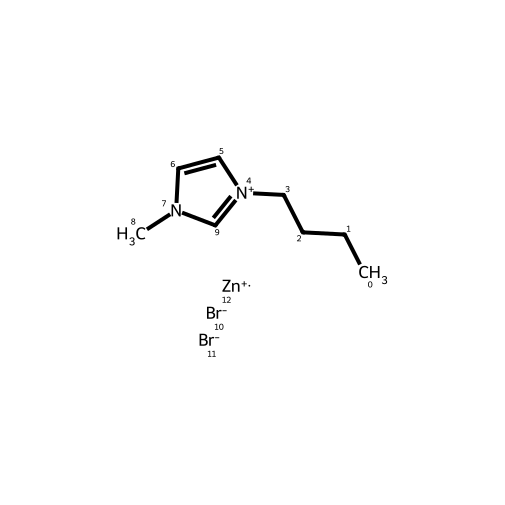 CCCC[n+]1ccn(C)c1.[Br-].[Br-].[Zn+]